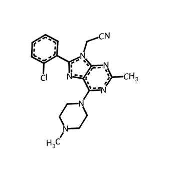 Cc1nc(N2CCN(C)CC2)c2nc(-c3ccccc3Cl)n(CC#N)c2n1